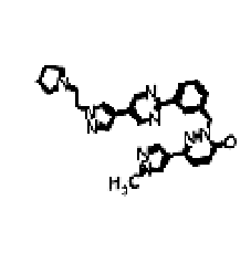 Cn1cc(-c2ccc(=O)n(Cc3cccc(-c4ncc(-c5cnn(CCN6CCCC6)c5)cn4)c3)n2)cn1